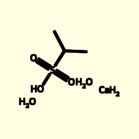 CC(C)S(=O)(=O)O.O.O.[CaH2]